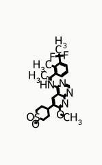 COc1nc2ncnc(N[C@H](C)c3cccc(C(C)(F)F)c3C)c2cc1C1CCS(=O)(=O)CC1